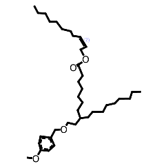 CCCCCCCC/C=C\COC(=O)CCCCCCC(CCCCCCCCC)CCOCc1ccc(OC)cc1